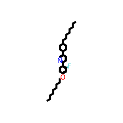 CCCCCCCCCOc1ccc(-c2ccc(C3CCC(CCCCCCCC)CC3)cn2)c(F)c1